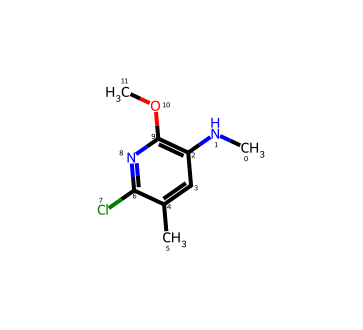 CNc1cc(C)c(Cl)nc1OC